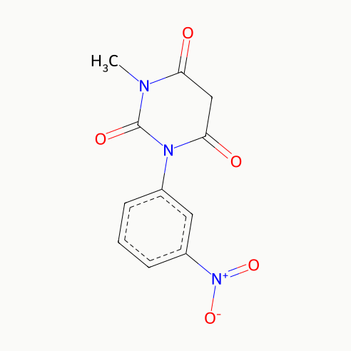 CN1C(=O)CC(=O)N(c2cccc([N+](=O)[O-])c2)C1=O